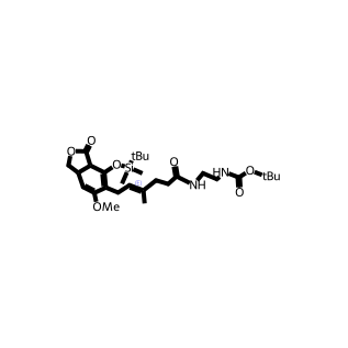 COC1=CC2COC(=O)C2C(O[Si](C)(C)C(C)(C)C)=C1C/C=C(\C)CCC(=O)NCCNC(=O)OC(C)(C)C